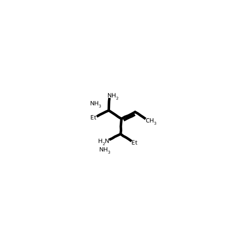 CC=C(C(N)CC)C(N)CC.N.N